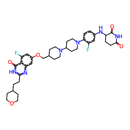 O=C1CCC(Nc2ccc(N3CCC(N4CCC(COc5cc(F)c6c(=O)[nH]c(CCC7CCOCC7)nc6c5)CC4)CC3)c(F)c2)C(=O)N1